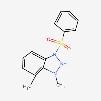 Cc1cccc2c1N(C)NN2S(=O)(=O)c1ccccc1